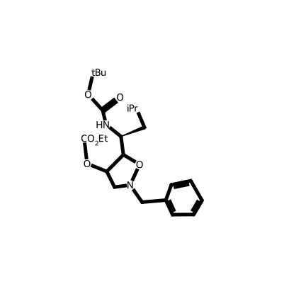 CCOC(=O)OC1CN(Cc2ccccc2)OC1[C@H](CC(C)C)NC(=O)OC(C)(C)C